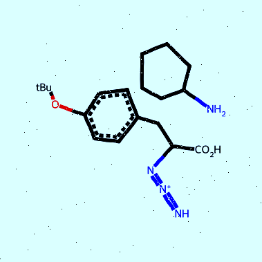 CC(C)(C)Oc1ccc(CC(N=[N+]=N)C(=O)O)cc1.NC1CCCCC1